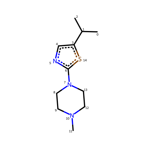 CC(C)c1cnc(N2CCN(C)CC2)s1